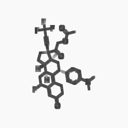 CC(=O)OCC(=O)[C@@]1(C#CC(F)(F)F)CC[C@H]2[C@@H]3CC(F)C4=CC(=O)CCC4=C3[C@@H](c3ccc(N(C)C)cc3)C[C@@]21C